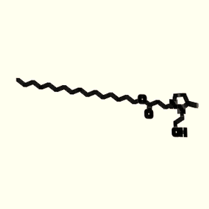 C=C1CCN(CCC(=O)OCCCCCCCCCCCCCCCC)N1CCO